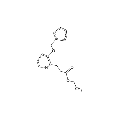 CCOC(=O)CCc1ncccc1OCc1ccccc1